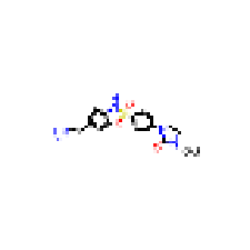 CCCCCCCCN1CCN(c2ccc(S(=O)(=O)Nc3ccc(CCN)cc3)cc2)C1=O